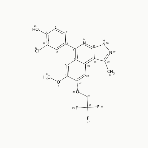 COc1cc2c(-c3ccc(O)c(Cl)c3)nc3[nH]nc(C)c3c2cc1OCC(F)(F)F